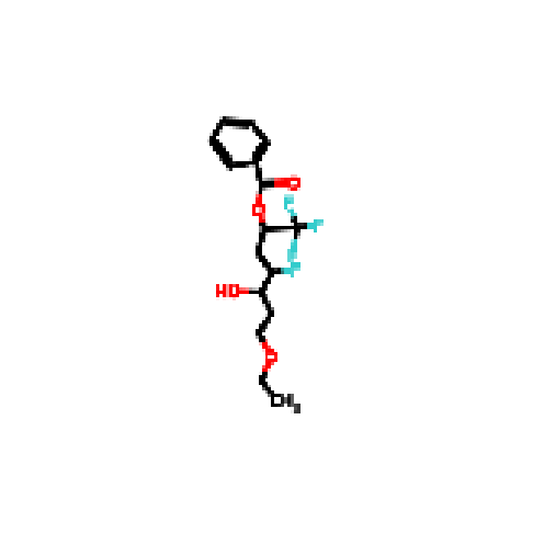 CCOCCC(O)C(F)CC(OC(=O)c1[c]cccc1)C(F)(F)F